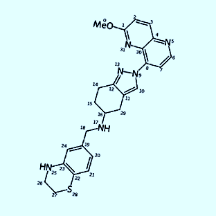 COc1ccc2nccc(-n3cc4c(n3)CCC(NCc3ccc5c(c3)NCCS5)C4)c2n1